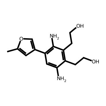 Cc1cc(-c2cc(N)c(CCO)c(CCO)c2N)co1